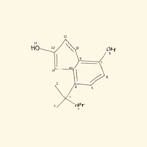 CCCC(C)(C)c1ccc(O)c2ccc(O)cc12